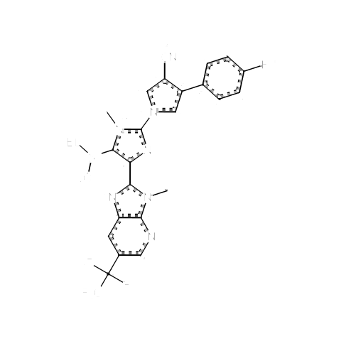 CC[S+]([O-])c1c(-c2nc3cc(C(F)(F)C(F)(F)F)cnc3n2C)nc(-n2cc(C#N)c(-c3ccc(F)cc3)c2)n1C